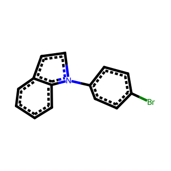 Brc1ccc(-n2ccc3ccccc32)cc1